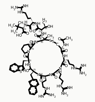 CC(=O)N[C@H]1CSSC(C)(C)[C@@H](C(=O)N[C@H](C(=O)N[C@@H](CCCNC(=N)N)C(=O)N[C@H](C(=O)O)C(C)(C)C)[C@@H](C)O)NC(=O)[C@@H]2CCCCN2C(=O)[C@H](Cc2csc3ccccc23)NC(O)[C@H](Cc2ccc3ccccc3c2)NC(=O)[C@H](CCCNC(=N)N)NC(=O)[C@H](CCCNC(=N)N)NC(=O)[C@@H](CCCNC(=N)N)NC1=O